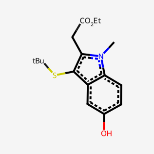 CCOC(=O)Cc1c(SC(C)(C)C)c2cc(O)ccc2n1C